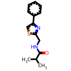 CC(C)C(=O)NCc1nc(-c2ccccc2)cs1